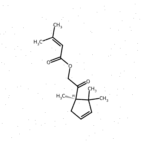 CC(C)=CC(=O)OCC(=O)[C@]1(C)CC=CC1(C)C